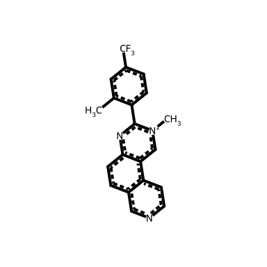 Cc1cc(C(F)(F)F)ccc1-c1nc2ccc3cnccc3c2c[n+]1C